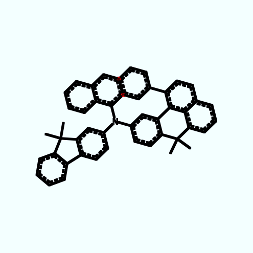 CC1(C)c2ccccc2-c2ccc(N(c3ccc4c(c3)-c3c(-c5ccccc5)ccc5cccc(c35)C4(C)C)c3cccc4ccccc34)cc21